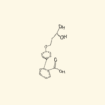 O=C(O)c1ccccc1-c1ccc(OCCC(O)O)cc1